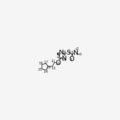 CN(C)C(=O)Sc1nsc(OCCC2CCCC2)n1